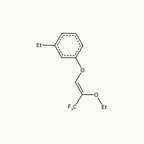 [CH2]Cc1cccc(O/C=C(\OCC)C(F)(F)F)c1